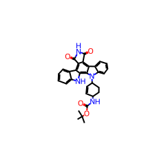 CC(C)(C)OC(=O)NC1C=CC(n2c3ccccc3c3c4c(c5c6ccccc6[nH]c5c32)C(=O)NC4=O)CC1